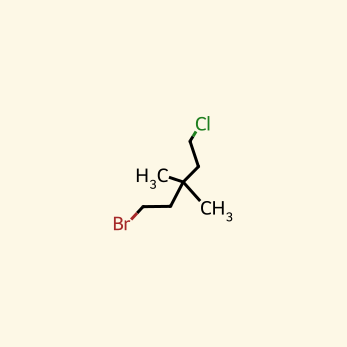 CC(C)(CCCl)CCBr